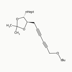 CCCCCCC[C@H]1OC(C)(C)O[C@@H]1CC#CC#CCOC(C)(C)C